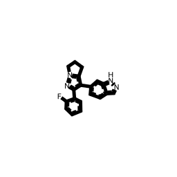 Fc1ccccc1-c1nn2c(c1-c1ccc3cn[nH]c3c1)CCC2